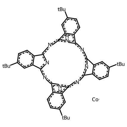 CC(C)(C)c1ccc2c(c1)-c1nc-2nc2[nH]c(nc3nc(nc4[nH]c(n1)c1ccc(C(C)(C)C)cc41)-c1ccc(C(C)(C)C)cc1-3)c1ccc(C(C)(C)C)cc21.[Co]